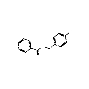 O=C(OCc1ccc(Br)cc1)c1ccccc1